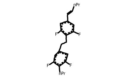 CCCC=Cc1cc(F)c(CCc2cc(F)c(CCC)c(F)c2)c(F)c1